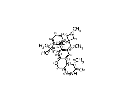 C[C@@H]1C(=O)NN=C2COc3cc(-c4ccccc4C(C)(C)O)c([C@@H](C)C4(C)CN(C)C4)cc3N21